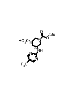 CC(C)(C)OC(=O)N1C[C@@H](Nc2ncc(C(F)(F)F)cn2)C[C@@H](C(=O)O)C1